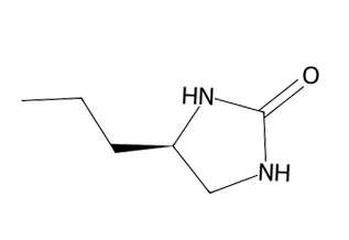 CCC[C@@H]1CNC(=O)N1